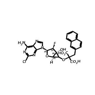 Nc1nc(Cl)nc2c1ncn2[C@@H]1O[C@@H]2C(OC(Cc3ccc4ccccc4c3)(C(=O)O)C(=O)O)[C@]2(O)[C@@H]1F